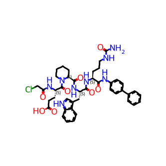 NC(=O)NCCC[C@H](NC(=O)[C@H](Cc1c[nH]c2ccccc12)NC(=O)[C@@H]1CCCCN1C(=O)[C@H](CCC(=O)O)NC(=O)CCl)C(=O)Nc1ccc(-c2ccccc2)cc1